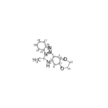 CC(Nc1ccc2c(c1)OCCO2)n1nnc2ccccc21